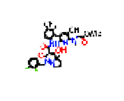 COC(=O)CN(C)c1ncc(-c2cc(C(F)(F)F)ccc2NC(=O)C2=C(O)C3(C)CCCN3N(Cc3cccc(F)c3F)C2=O)cc1C#N